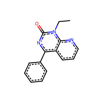 CCn1c(=O)nc(-c2ccccc2)c2cccnc21